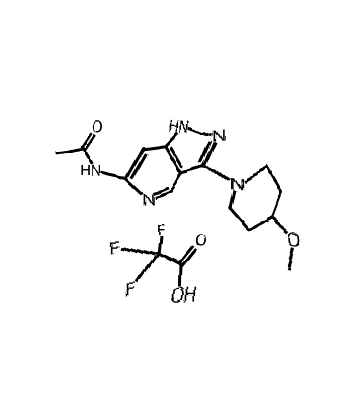 COC1CCN(c2n[nH]c3cc(NC(C)=O)ncc23)CC1.O=C(O)C(F)(F)F